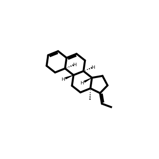 CC=C1CC[C@H]2[C@@H]3CC=C4C=CCC[C@@H]4[C@H]3CC[C@]12C